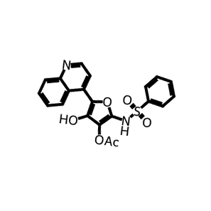 CC(=O)Oc1c(NS(=O)(=O)c2ccccc2)oc(-c2ccnc3ccccc23)c1O